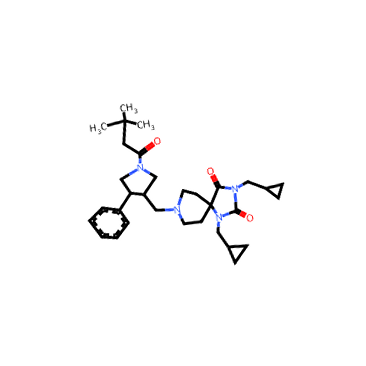 CC(C)(C)CC(=O)N1CC(CN2CCC3(CC2)C(=O)N(CC2CC2)C(=O)N3CC2CC2)C(c2ccccc2)C1